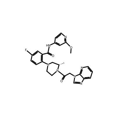 COc1cc(NC(=O)c2cc(F)ccc2N2CCN(C(=O)Cn3cnc4cccnc43)[C@@H](C)C2)ccn1